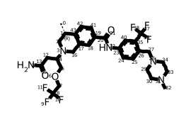 C[C@H]1CN(C(COCC(F)(F)F)CC(N)=O)Cc2cc(C(=O)Nc3ccc(CN4CCN(C)CC4)c(C(F)(F)F)c3)ccc21